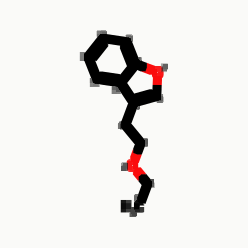 C[CH]OCCc1coc2ccccc12